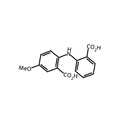 COc1ccc(Nc2ccccc2C(=O)O)c(C(=O)O)c1